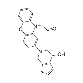 O=CCN1c2ccccc2Oc2ccc(N3Cc4sccc4C(O)C3)cc21